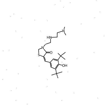 CN(C)CCNCCN1CSC(=Cc2cc(C(C)(C)C)c(O)c(C(C)(C)C)c2)C1=O